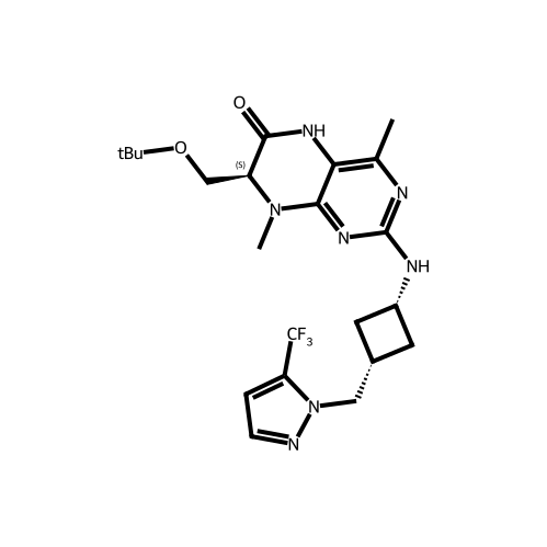 Cc1nc(N[C@H]2C[C@@H](Cn3nccc3C(F)(F)F)C2)nc2c1NC(=O)[C@H](COC(C)(C)C)N2C